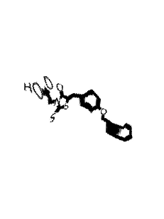 O=C(O)CN1C(=O)/C(=C/c2ccc(OCc3ccccc3)cc2)SC1=S